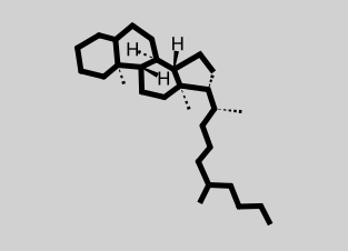 CCCCC(C)CCC[C@@H](C)[C@H]1CC[C@H]2[C@@H]3CCC4CCCC[C@]4(C)[C@H]3CC[C@]12C